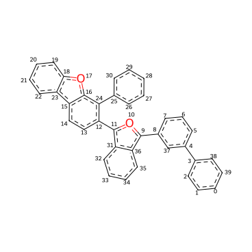 c1ccc(-c2cccc(-c3oc(-c4ccc5c(oc6ccccc65)c4-c4ccccc4)c4ccccc34)c2)cc1